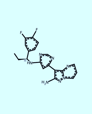 CC[C@H](Nc1cc(-c2c(N)nn3cccnc23)ncn1)c1ccc(F)c(F)c1